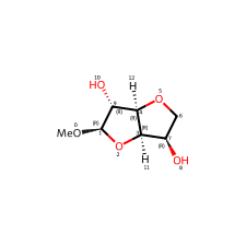 CO[C@@H]1O[C@H]2[C@H](OC[C@H]2O)[C@H]1O